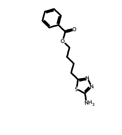 Nc1nnc(CCCCOC(=O)c2ccccc2)s1